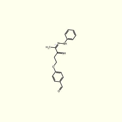 C/C(=N/Nc1ccccc1)C(=N)CCOc1ccc(C=O)cc1